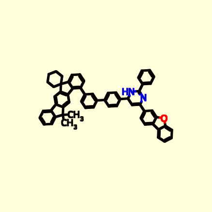 CC1(C)c2ccccc2-c2cc3c(cc21)-c1c(-c2cccc(-c4ccc(C5C=C(c6ccc7c(c6)oc6ccccc67)N=C(c6ccccc6)N5)cc4)c2)cccc1C31CCCCC1